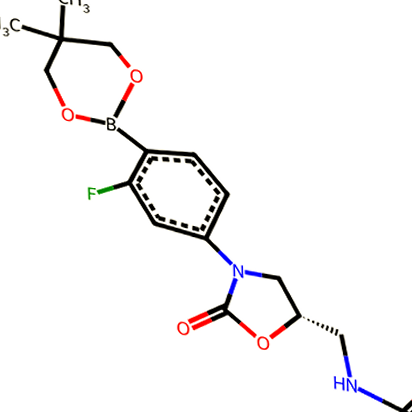 CC(=O)NC[C@H]1CN(c2ccc(B3OCC(C)(C)CO3)c(F)c2)C(=O)O1